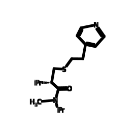 CC(C)[C@H](CSCCc1ccncc1)C(=O)N(C)C(C)C